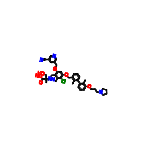 Cc1c(COc2cc(OCc3cncc(C#N)c3)c(CN[C@@](C)(CO)C(=O)O)c(C)c2Cl)cccc1-c1cccc(OCCCN2CCCC2)c1C